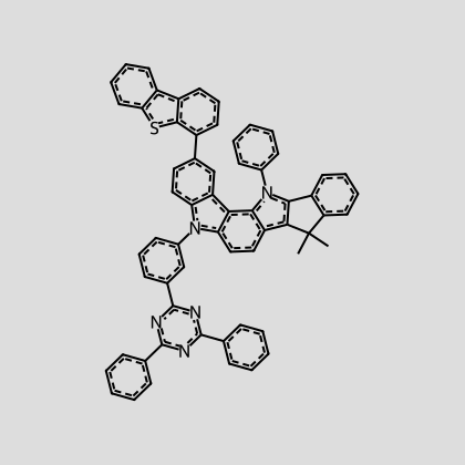 CC1(C)c2ccccc2-c2c1c1ccc3c(c4cc(-c5cccc6c5sc5ccccc56)ccc4n3-c3cccc(-c4nc(-c5ccccc5)nc(-c5ccccc5)n4)c3)c1n2-c1ccccc1